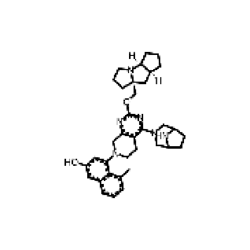 Cc1cccc2cc(O)cc(N3CCc4c(nc(OC[C@@]56CCCN5[C@H]5CCC[C@H]5C6)nc4N4CC5CCC(C4)N5)C3)c12